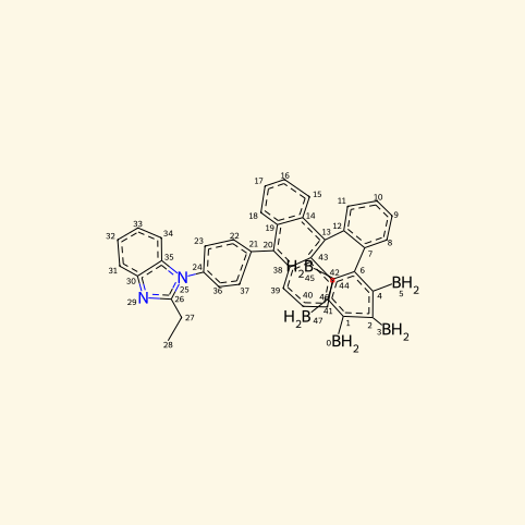 Bc1c(B)c(B)c(-c2ccccc2-c2c3ccccc3c(-c3ccc(-n4c(CC)nc5ccccc54)cc3)c3ccccc23)c(B)c1B